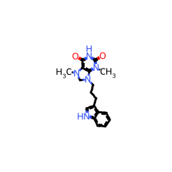 CN1CN(CCCc2c[nH]c3ccccc23)c2c1c(=O)[nH]c(=O)n2C